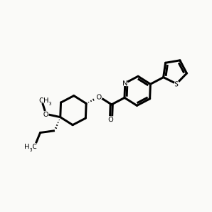 CCC[C@]1(OC)CC[C@H](OC(=O)c2ccc(-c3cccs3)cn2)CC1